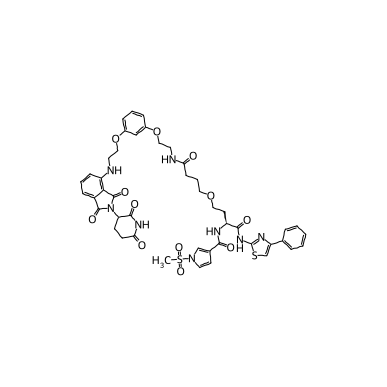 CS(=O)(=O)n1ccc(C(=O)N[C@@H](CCOCCCC(=O)NCCOc2cccc(OCCNc3cccc4c3C(=O)N(C3CCC(=O)NC3=O)C4=O)c2)C(=O)Nc2nc(-c3ccccc3)cs2)c1